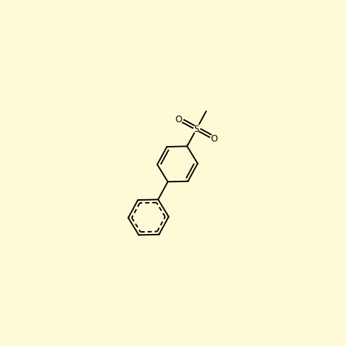 CS(=O)(=O)[C]1C=CC(c2ccccc2)C=C1